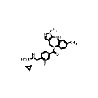 C1CC1.Cc1ccc2c(c1)Nc1c(cnn1C)CN2C(=O)c1ccc(CNC(=O)O)c(F)c1